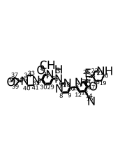 COc1nc(Nc2nccc(-c3cc(C#N)c(OC4CCNCC4(F)F)cn3)n2)ccc1N1CCN(C2COC2)CC1